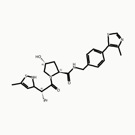 CC1=CC([C@H](C(=O)N2C[C@H](O)C[C@H]2C(=O)NCc2ccc(-c3scnc3C)cc2)C(C)C)NS1